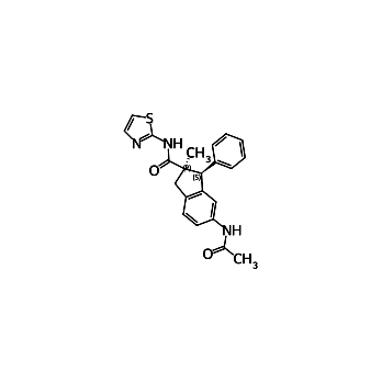 CC(=O)Nc1ccc2c(c1)[C@H](c1ccccc1)[C@](C)(C(=O)Nc1nccs1)C2